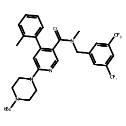 Cc1ccccc1-c1cc(N2CCN(C(C)(C)C)CC2)ncc1C(=O)N(C)Cc1cc(C(F)(F)F)cc(C(F)(F)F)c1